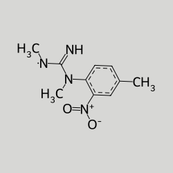 C[N]C(=N)N(C)c1ccc(C)cc1[N+](=O)[O-]